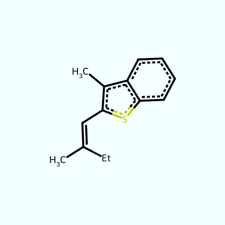 CC/C(C)=C\c1sc2ccccc2c1C